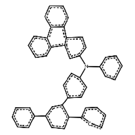 c1ccc(-c2ccc(-c3ccccc3)c(-c3ccc(N(c4ccccc4)c4ccc5c6ccccc6c6ccccc6c5c4)cc3)c2)cc1